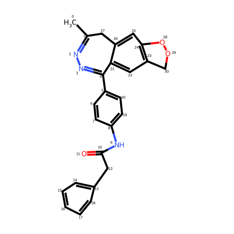 CC1=NN=C(c2ccc(NC(=O)Cc3ccccc3)cc2)c2cc3c(cc2C1)OOC3